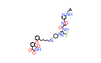 CN(CCCCCc1ccccc1Oc1cccc2c1C(=O)NC(=O)C2=O)C[C@H]1CC[C@H](n2cc(NC(=O)c3coc(-c4ccnc(NCC5CC5)c4)n3)c(C(F)F)n2)CC1